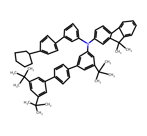 CC(C)(C)c1cc(-c2ccc(-c3cc(C(C)(C)C)cc(C(C)(C)C)c3)cc2)cc(N(c2cccc(-c3ccc(C4CCCCC4)cc3)c2)c2ccc3c(c2)C(C)(C)c2ccccc2-3)c1